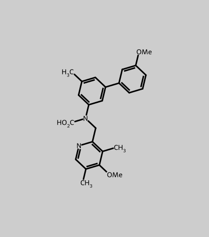 COc1cccc(-c2cc(C)cc(N(Cc3ncc(C)c(OC)c3C)C(=O)O)c2)c1